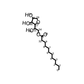 CCCCCCCCCCCC(=O)OCC(O)C1OCC(O)C1O